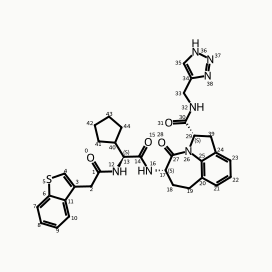 O=C(Cc1csc2ccccc12)N[C@H](C(=O)N[C@H]1CCc2cccc3c2N(C1=O)[C@H](C(=O)NCc1c[nH]nn1)C3)C1CCCC1